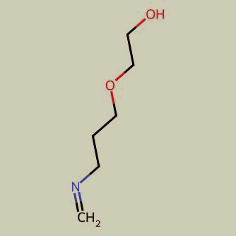 C=NCCCOCCO